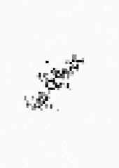 Cc1cc(B2OC(C)(C)C(C)(C)O2)cc(C)c1C(=O)NCCN1CCC(F)C1